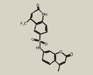 Cc1cc(=O)oc2cc(NS(=O)(=O)c3ccc4[nH]c(=O)cc(C(F)(F)F)c4c3)ccc12